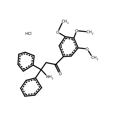 COc1cc(C(=O)CC(N)(c2ccccc2)c2ccccc2)cc(OC)c1OC.Cl